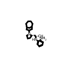 C[C@@H](C[C@@H]1CCCN1C1CC2CCCCC(C2)C1)Nc1ccccc1N